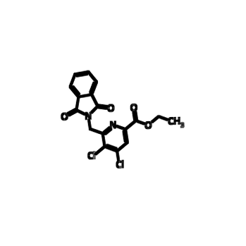 CCOC(=O)c1cc(Cl)c(Cl)c(CN2C(=O)c3ccccc3C2=O)n1